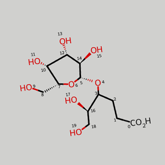 O=C(O)CCC(O[C@@H]1O[C@H](CO)[C@H](O)[C@H](O)[C@H]1O)[C@H](O)CO